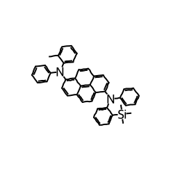 Cc1ccccc1N(c1ccccc1)c1ccc2ccc3c(N(c4ccccc4)c4ccccc4[Si](C)(C)C)ccc4ccc1c2c43